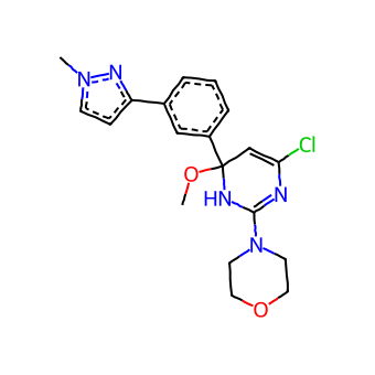 COC1(c2cccc(-c3ccn(C)n3)c2)C=C(Cl)N=C(N2CCOCC2)N1